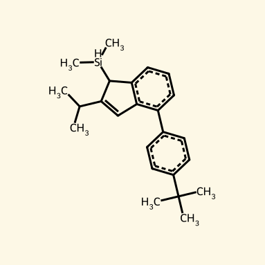 CC(C)C1=Cc2c(-c3ccc(C(C)(C)C)cc3)cccc2C1[SiH](C)C